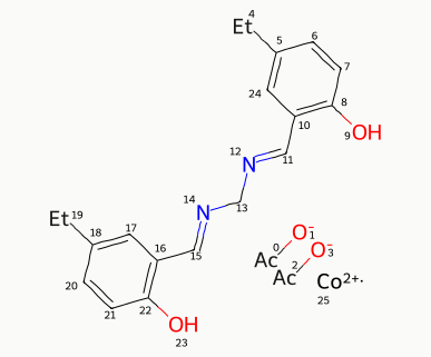 CC(=O)[O-].CC(=O)[O-].CCc1ccc(O)c(C=NCN=Cc2cc(CC)ccc2O)c1.[Co+2]